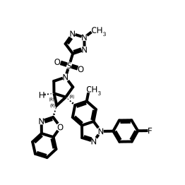 Cc1cc2c(cnn2-c2ccc(F)cc2)cc1[C@@]12CN(S(=O)(=O)c3cnn(C)n3)C[C@@H]1[C@H]2c1nc2ccccc2o1